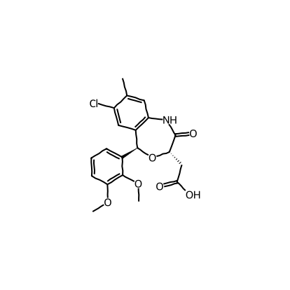 COc1cccc([C@@H]2O[C@@H](CC(=O)O)C(=O)Nc3cc(C)c(Cl)cc32)c1OC